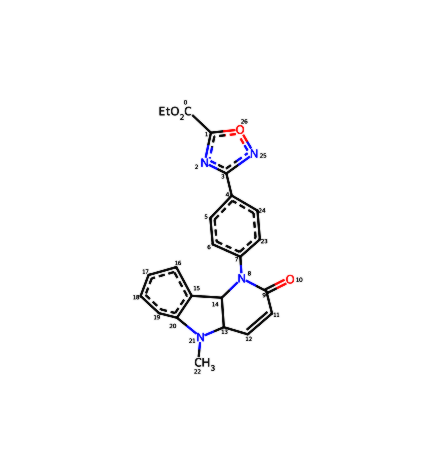 CCOC(=O)c1nc(-c2ccc(N3C(=O)C=CC4C3c3ccccc3N4C)cc2)no1